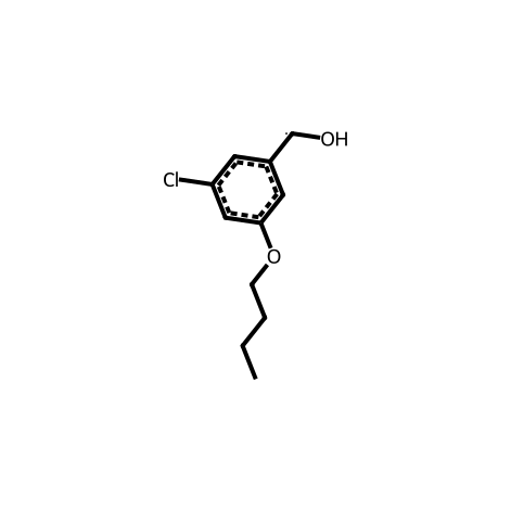 CCCCOc1cc(Cl)cc([CH]O)c1